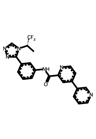 C[C@H](n1cnnc1-c1cccc(NC(=O)c2cc(-c3cccnc3)ccn2)c1)C(F)(F)F